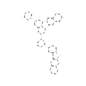 c1ccc(-c2cc3c4c(cc(-c5cccc(-c6ccc7oc8cc9ccccc9cc8c7c6)c5)cc4c2)-c2cc4ccccc4cc2-3)cc1